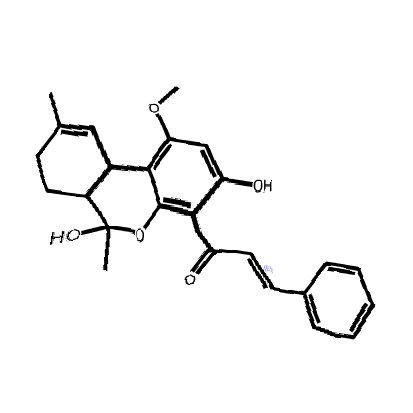 COc1cc(O)c(C(=O)/C=C/c2ccccc2)c2c1C1C=C(C)CCC1C(C)(O)O2